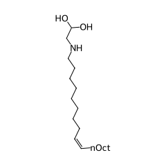 CCCCCCCC/C=C\CCCCCCCCNCC(O)O